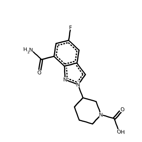 NC(=O)c1cc(F)cc2cn(C3CCCN(C(=O)O)C3)nc12